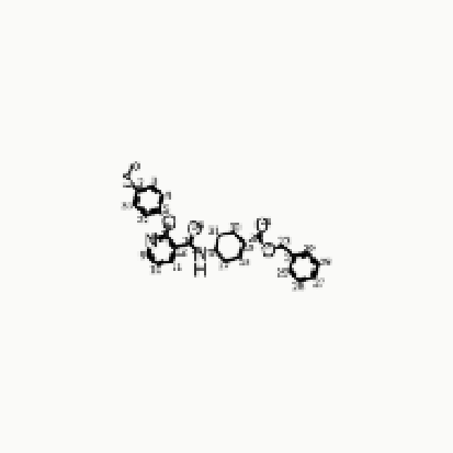 CSc1ccc(Oc2ncccc2C(=O)N[C@H]2CC[C@@H](C(=O)OCc3ccccc3)CC2)cc1